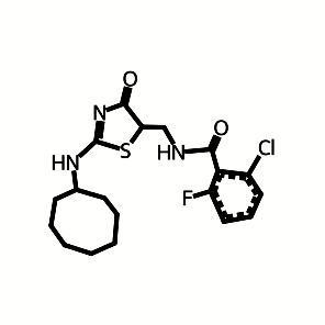 O=C(NCC1SC(NC2CCCCCCC2)=NC1=O)c1c(F)cccc1Cl